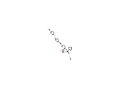 C=CCOPOC(Cn1cnnn1)(c1ccc(F)cc1F)C(F)(F)c1ccc(C#Cc2ccc(OCc3ccc(C#N)cc3)cc2)cn1